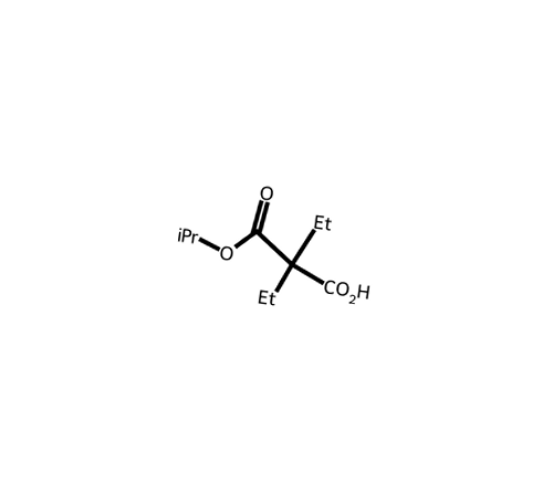 CCC(CC)(C(=O)O)C(=O)OC(C)C